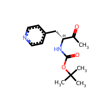 CC(=O)[C@@H](Cc1ccncc1)NC(=O)OC(C)(C)C